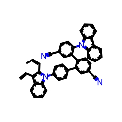 C=Cc1c(/C=C\C)n(-c2ccc(-c3cc(C#N)ccc3-c3cc(C#N)ccc3-n3c4ccccc4c4ccccc43)cc2)c2ccccc12